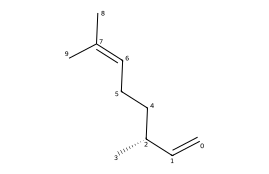 C=C[C@H](C)CCC=C(C)C